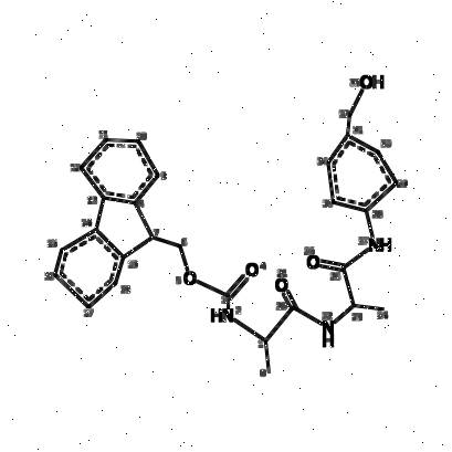 CC(NC(=O)OCC1c2ccccc2-c2ccccc21)C(=O)NC(C)C(=O)Nc1ccc(CO)cc1